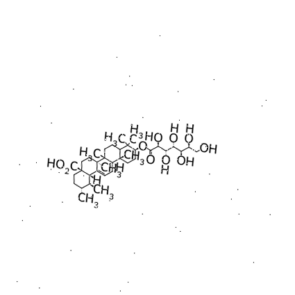 C[C@H]1[C@H](C)CC[C@]2(C(=O)O)CC[C@]3(C)C(=CC[C@@H]4[C@@]5(C)CC[C@H](OC(=O)[C@@H](O)[C@@H](O)[C@H](O)[C@H](O)[C@@H](O)CO)C(C)(C)C5CC[C@]43C)[C@H]12